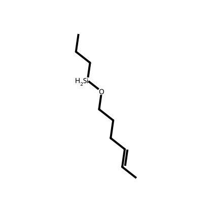 CC=CCCCO[SiH2]CCC